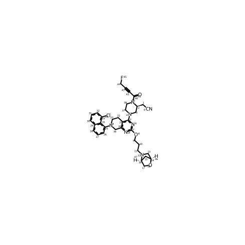 N#CC[C@H]1CN(c2nc(OCCCN3C[C@@H]4C[C@H]3CO4)nc3c2CCN(c2cccc4cccc(Cl)c24)C3)CCN1C(=O)C#CCF